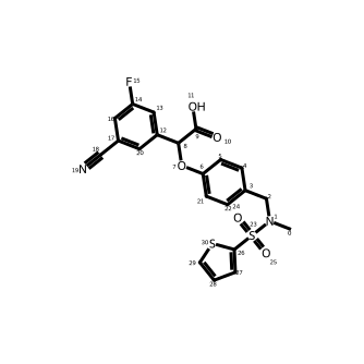 CN(Cc1ccc(OC(C(=O)O)c2cc(F)cc(C#N)c2)cc1)S(=O)(=O)c1cccs1